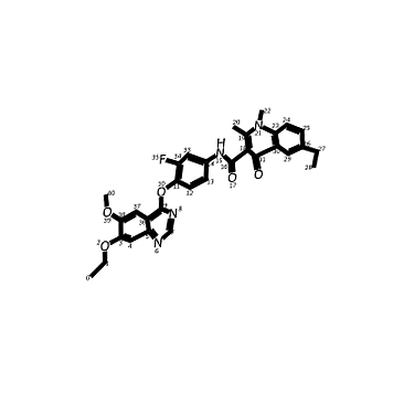 CCOc1cc2ncnc(Oc3ccc(NC(=O)c4c(C)n(C)c5ccc(CC)cc5c4=O)cc3F)c2cc1OC